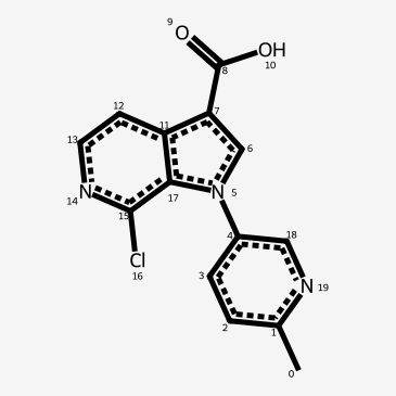 Cc1ccc(-n2cc(C(=O)O)c3ccnc(Cl)c32)cn1